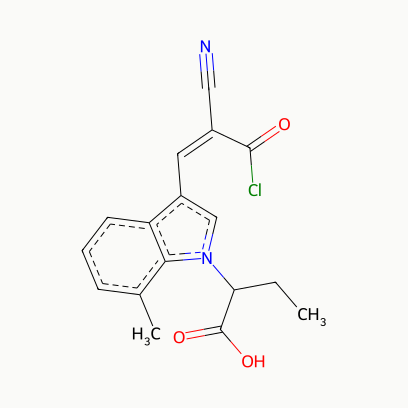 CCC(C(=O)O)n1cc(C=C(C#N)C(=O)Cl)c2cccc(C)c21